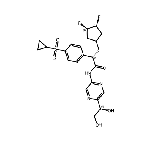 O=C(Nc1cnc([C@@H](O)CO)cn1)[C@@H](CC1C[C@@H](F)[C@@H](F)C1)c1ccc(S(=O)(=O)C2CC2)cc1